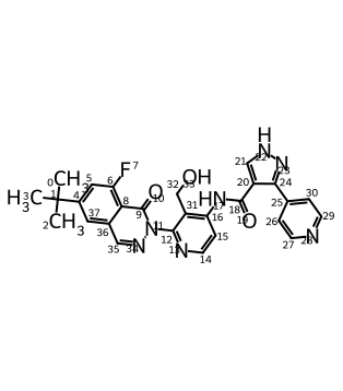 CC(C)(C)c1cc(F)c2c(=O)n(-c3nccc(NC(=O)c4c[nH]nc4-c4ccncc4)c3CO)ncc2c1